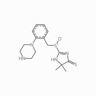 CC1(C)NC([S+]([O-])Cc2ccccc2N2CCNCC2)=NC1=S